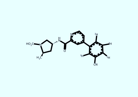 [2H]c1c([2H])c(C#N)c([2H])c(-c2ccnc(C(=O)N[C@@H]3C[C@@H](C)N(C(=O)O)C3)c2)c1[2H]